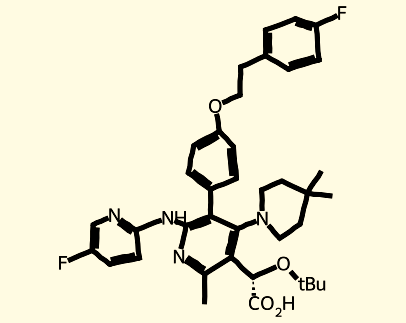 Cc1nc(Nc2ccc(F)cn2)c(-c2ccc(OCCc3ccc(F)cc3)cc2)c(N2CCC(C)(C)CC2)c1[C@H](OC(C)(C)C)C(=O)O